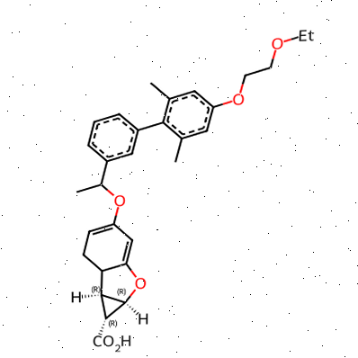 CCOCCOc1cc(C)c(-c2cccc(C(C)OC3=CCC4C(=C3)O[C@H]3[C@H](C(=O)O)[C@@H]43)c2)c(C)c1